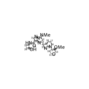 CNc1cc(-c2cnc3n(C4CCOC[C@@H]4OC)cccc2-3)nc2c(C(=O)NC3CC[C@@H]3O)cnn12